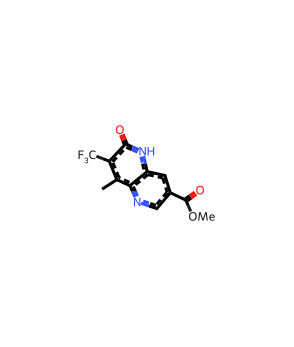 COC(=O)c1cnc2c(C)c(C(F)(F)F)c(=O)[nH]c2c1